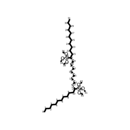 CCCCCCCCCCCC(SSSSSSSSC(CCCCCCCCCCC)[Si](OC)(OC)OC)[Si](OC)(OC)OC